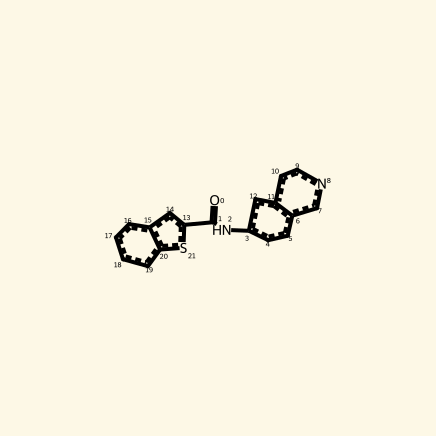 O=C(Nc1ccc2cnccc2c1)c1cc2ccccc2s1